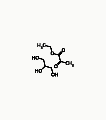 CCOC(=O)C(C)=O.OCC(O)CO